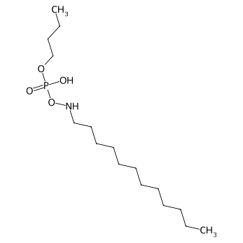 CCCCCCCCCCCCNOP(=O)(O)OCCCC